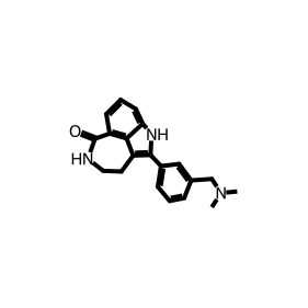 CN(C)Cc1cccc(-c2[nH]c3cccc4c3c2CCNC4=O)c1